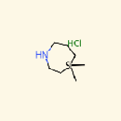 C[Si]1(C)CCCNCC1.Cl